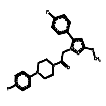 CSc1cc(-c2ccc(F)cc2)n(CC(=O)N2CCN(c3ccc(F)cc3)CC2)n1